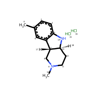 Cc1ccc2c(c1)[C@H]1CN(C)CC[C@@H]1N2.Cl.Cl